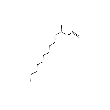 CCCCCCCCCCC(C)CN=O